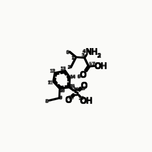 CC(C)C(N)C(=O)O.CCc1ccccc1S(=O)(=O)O